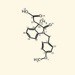 COc1ccc(CN2C(=O)[C@](C)(CC(=O)O)c3ccccc32)cc1